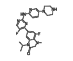 CC(C)N1C(=O)CN(C)c2c(F)cc(-c3nc(Nc4ccc(N5CCNCC5)cn4)ncc3F)cc21